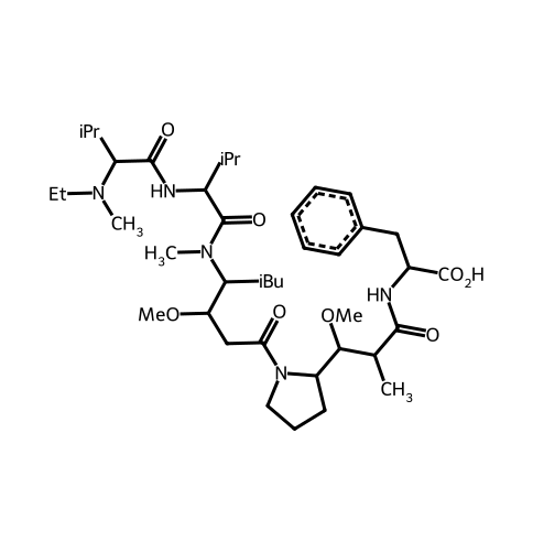 CCC(C)C(C(CC(=O)N1CCCC1C(OC)C(C)C(=O)NC(Cc1ccccc1)C(=O)O)OC)N(C)C(=O)C(NC(=O)C(C(C)C)N(C)CC)C(C)C